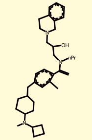 C=C(c1ccc(CC2CCC(N(C)C3CCC3)CC2)cc1C)N(CCC)CC(O)CN1CCc2ccccc2C1